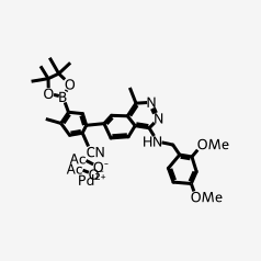 CC(=O)[O-].CC(=O)[O-].COc1ccc(CNc2nnc(C)c3cc(-c4cc(B5OC(C)(C)C(C)(C)O5)c(C)cc4C#N)ccc23)c(OC)c1.[Pd+2]